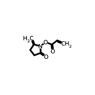 C=CC(=O)ON1C(=C)CCC1=O